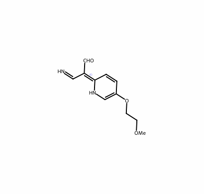 COCCOC1=CN/C(=C(\C=N)C=O)C=C1